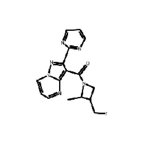 CC1C(CF)CN1C(=O)c1c(-c2ncccn2)nn2cccnc12